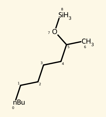 CCCCCCCCC(C)O[SiH3]